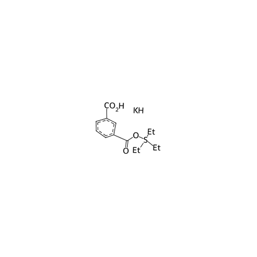 CCS(CC)(CC)OC(=O)c1cccc(C(=O)O)c1.[KH]